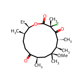 CC[C@H]1OC(=O)[C@](C)(F)C(=O)[C@H](C)[C@@H](C)[C@@](C)(OC)C[C@@H](C)C(=O)CC[C@H]1C